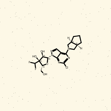 OC[C@H]1O[C@@H](n2ncc3c(N4C[C@H]5CCC[C@H]5C4)nc(Cl)nc32)[C@H](O)[C@@]1(O)C(F)F